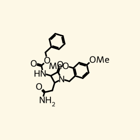 COc1ccc(CN2C(=O)C(NC(=O)OCc3ccccc3)C2CC(N)=O)c(OC)c1